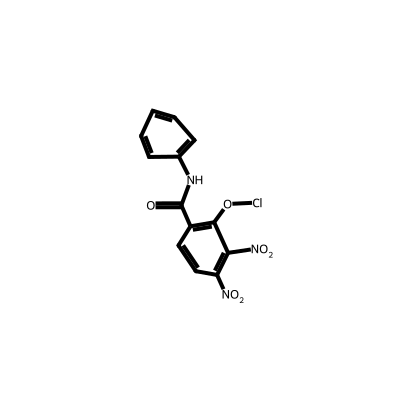 O=C(Nc1ccccc1)c1ccc([N+](=O)[O-])c([N+](=O)[O-])c1OCl